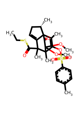 CCSC(=O)C1(C)C2=CC[C@H](C)C23C(=O)C(OC)(OC)C1(C)C(OS(=O)(=O)c1ccc(C)cc1)=C3C